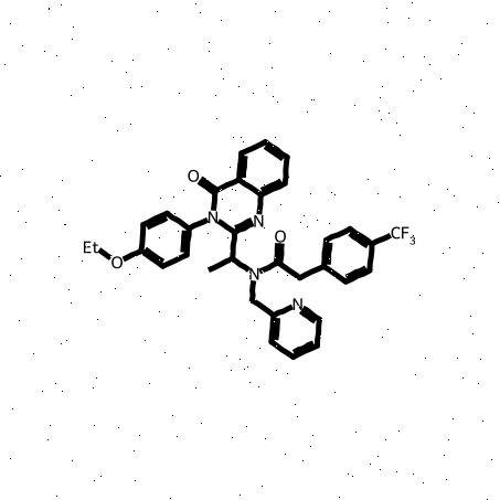 CCOc1ccc(-n2c(C(C)N(Cc3ccccn3)C(=O)Cc3ccc(C(F)(F)F)cc3)nc3ccccc3c2=O)cc1